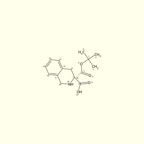 CC(C)(C)OC(=O)[C@@]1(C(=O)O)Cc2ccccc2CN1